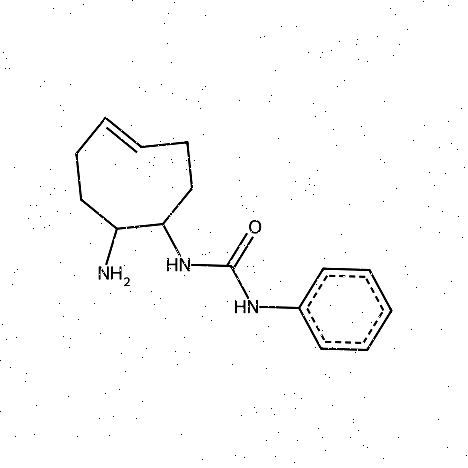 NC1CC/C=C/CCC1NC(=O)Nc1ccccc1